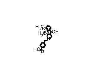 COc1cccc([C@H](O)C2CCN(CCc3ccc(C(=O)O)cc3)CC2)c1OC